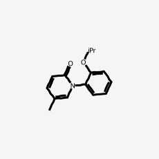 Cc1ccc(=O)n(-c2ccccc2OC(C)C)c1